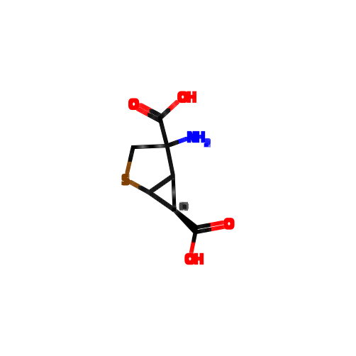 NC1(C(=O)O)CSC2C1[C@H]2C(=O)O